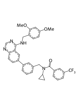 COc1ccc(CNc2ncnc3ccc(-c4cccc(CN(C(=O)c5cccc(C(F)(F)F)c5)C5CC5)c4)cc23)c(OC)c1